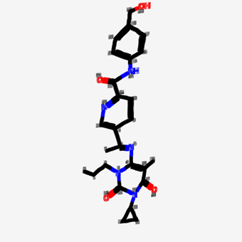 CCCn1c(/N=C(\C)c2ccc(C(=O)Nc3ccc(CO)cc3)nc2)c(C)c(=O)n(C2CC2)c1=O